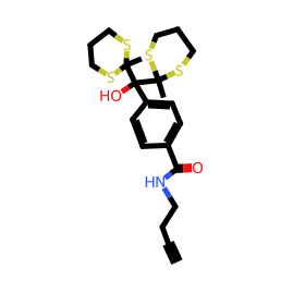 C#CCCNC(=O)c1ccc(C(O)(C2(C)SCCCS2)C2(C)SCCCS2)cc1